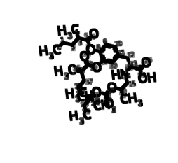 CCCC(C)C(=O)Oc1ccc(C[C@H](NCC(C)OC(=O)OC(C)(C)CC)C(=O)O)cc1OC(=O)C(C)CCC